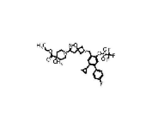 CCOC(=O)C1(C)CCN(C2=NOC3(C2)CN(Cc2cc(C4CC4)c(-c4ccc(F)cc4)cc2OS(=O)(=O)C(F)(F)F)C3)CC1